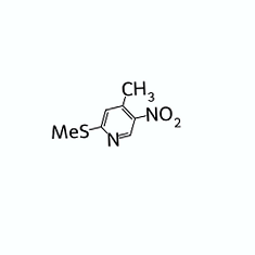 CSc1cc(C)c([N+](=O)[O-])cn1